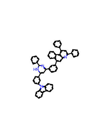 C1=C(c2cccc(-n3c4ccccc4c4ccccc43)c2)NC(c2ccccc2)N=C1c1cccc(-c2cc3nc(-c4ccccc4)cc(-c4ccccc4)c3c3ccccc23)c1